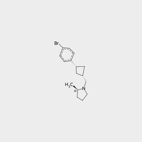 C[C@@H]1CCCN1C[C@H]1C[C@@H](c2ccc(Br)cc2)C1